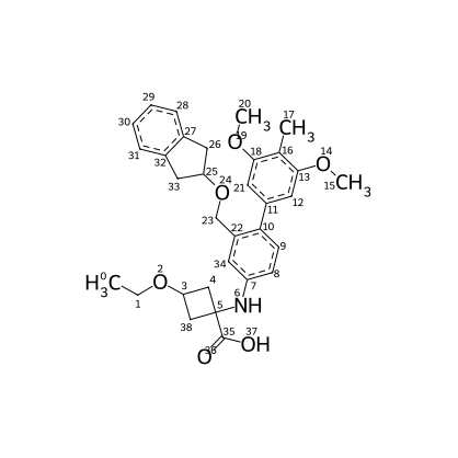 CCOC1CC(Nc2ccc(-c3cc(OC)c(C)c(OC)c3)c(COC3Cc4ccccc4C3)c2)(C(=O)O)C1